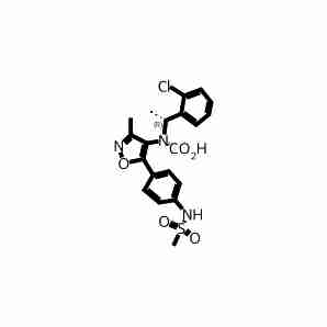 Cc1noc(-c2ccc(NS(C)(=O)=O)cc2)c1N(C(=O)O)[C@H](C)c1ccccc1Cl